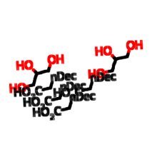 CCCCCCCCCCCC(=O)O.CCCCCCCCCCCC(=O)O.CCCCCCCCCCCC(=O)O.CCCCCCCCCCCC(=O)O.OCC(O)CO.OCC(O)CO